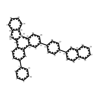 c1ccc(-c2ccc3c(c2)c2cc(-c4ccc(-c5ccc6ccccc6c5)cc4)ccc2n2c4ccccc4nc32)cc1